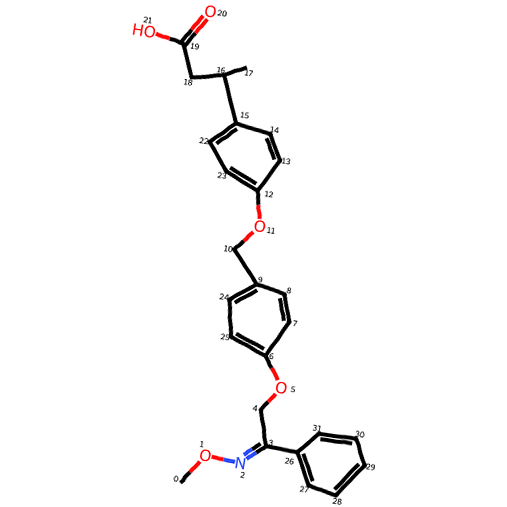 CO/N=C(\COc1ccc(COc2ccc(C(C)CC(=O)O)cc2)cc1)c1ccccc1